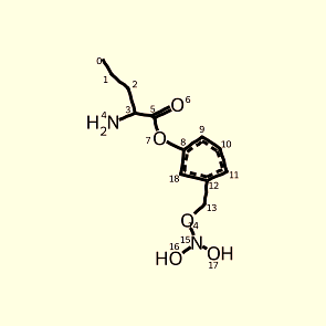 CCCC(N)C(=O)Oc1cccc(CON(O)O)c1